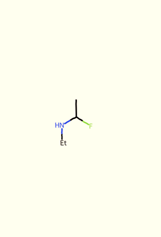 CCNC(C)F